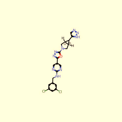 Clc1cc(Cl)cc(CNc2ncc(-c3nnc(N4C[C@@H]5C(c6cnn[nH]6)[C@@H]5C4)o3)cn2)c1